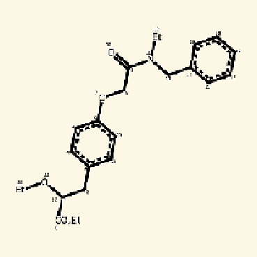 CCOC(=O)[C@H](Cc1ccc(OCC(=O)N(CC)Cc2ccccc2)cc1)OCC